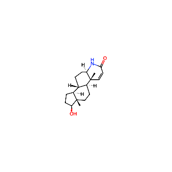 C[C@]12C=CC(=O)N[C@@H]1CC[C@@H]1[C@@H]2CC[C@]2(C)[C@@H](O)CC[C@@H]12